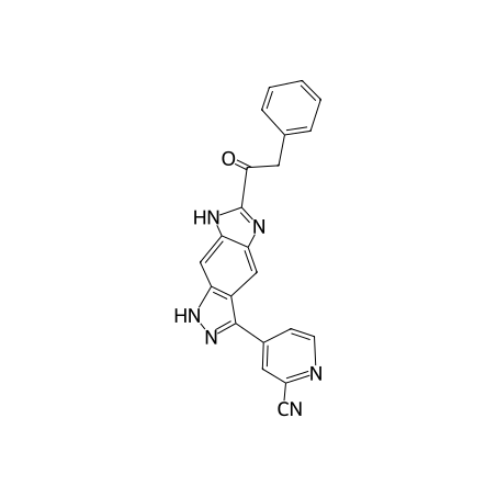 N#Cc1cc(-c2n[nH]c3cc4[nH]c(C(=O)Cc5ccccc5)nc4cc23)ccn1